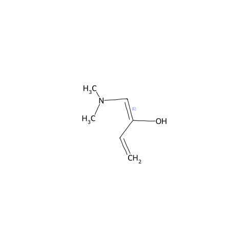 C=C/C(O)=C\N(C)C